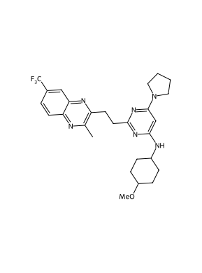 COC1CCC(Nc2cc(N3CCCC3)nc(CCc3nc4cc(C(F)(F)F)ccc4nc3C)n2)CC1